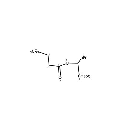 CCCCCCCCCCCC(=O)OC(CCC)CCCCCCC